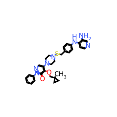 CC1(COc2c(N3CCN(SCc4ccc(Nc5ccncc5N)cc4)CC3)cnn(-c3ccccc3)c2=O)CC1